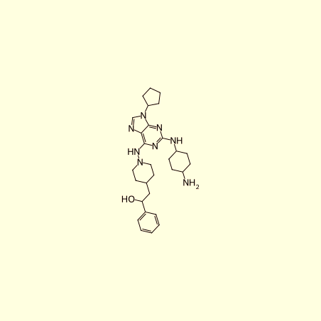 NC1CCC(Nc2nc(NN3CCC(CC(O)c4ccccc4)CC3)c3ncn(C4CCCC4)c3n2)CC1